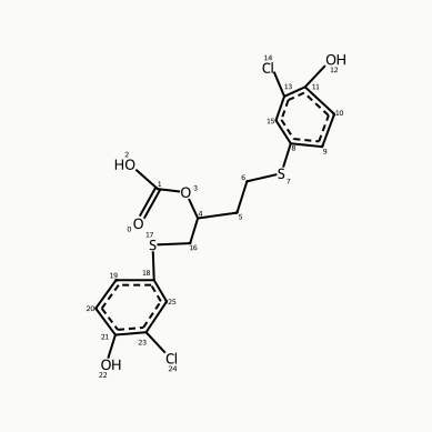 O=C(O)OC(CCSc1ccc(O)c(Cl)c1)CSc1ccc(O)c(Cl)c1